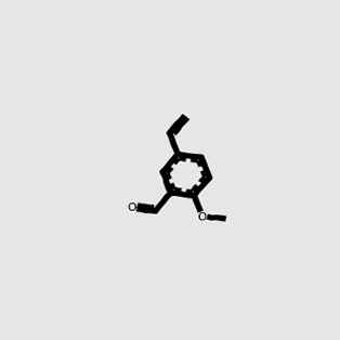 C=Cc1ccc(OC)c(C=O)c1